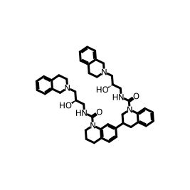 O=C(NC[C@@H](O)CN1CCc2ccccc2C1)N1CCCc2ccc(C3Cc4ccccc4N(C(=O)NC[C@H](O)CN4CCc5ccccc5C4)C3)cc21